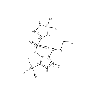 CCCOc1c(CS(=O)(=O)C2=NOC(C)(C)C2)c(C(F)(F)F)nn1C